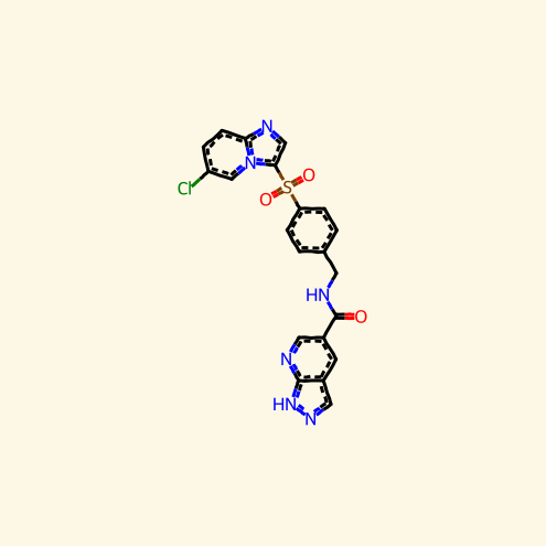 O=C(NCc1ccc(S(=O)(=O)c2cnc3ccc(Cl)cn23)cc1)c1cnc2[nH]ncc2c1